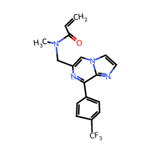 C=CC(=O)N(C)Cc1cn2ccnc2c(-c2ccc(C(F)(F)F)cc2)n1